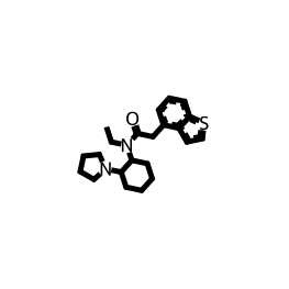 CCN(C(=O)Cc1cccc2sccc12)C1CCCCC1N1CCCC1